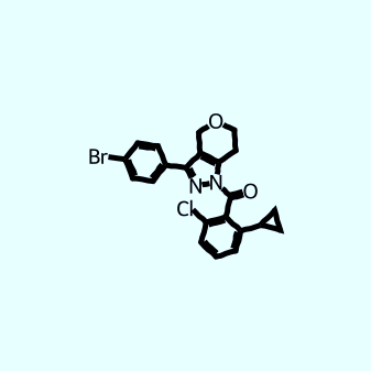 O=C(c1c(Cl)cccc1C1CC1)n1nc(-c2ccc(Br)cc2)c2c1CCOC2